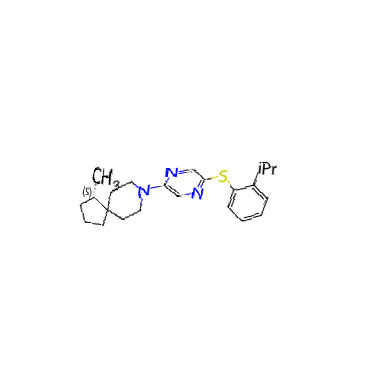 CC(C)c1ccccc1Sc1cnc(N2CCC3(CCC[C@@H]3C)CC2)cn1